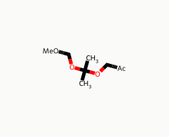 COCOC(C)(C)OCC(C)=O